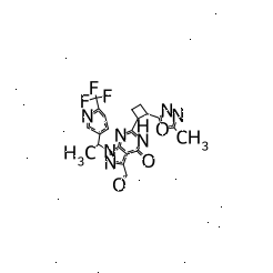 Cc1nnc(C2CCC2c2nc3c(c(C=O)nn3C(C)c3ccc(C(F)(F)F)nc3)c(=O)[nH]2)o1